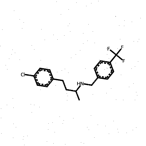 CC(CCc1ccc(Cl)cc1)NCc1ccc(C(F)(F)F)cc1